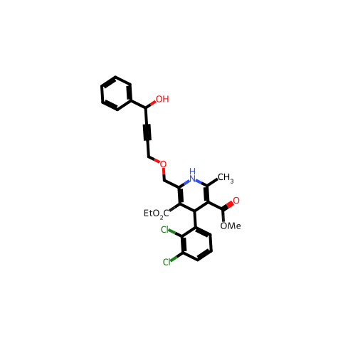 CCOC(=O)C1=C(COCC#CC(O)c2ccccc2)NC(C)=C(C(=O)OC)C1c1cccc(Cl)c1Cl